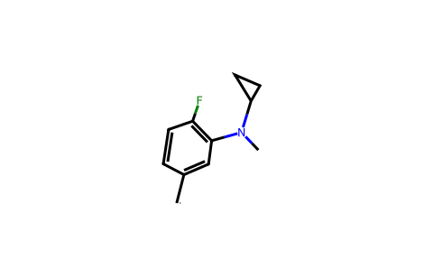 [CH2]c1ccc(F)c(N(C)C2CC2)c1